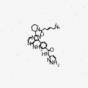 C/C=C\C(=N/N)NC(=O)c1ccc(-c2nc(C3CCCCN3C(=O)C/C=C/CN(C)C)n3ccnc(N)c23)cc1